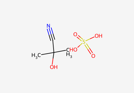 CC(C)(O)C#N.O=S(=O)(O)O